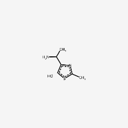 Cc1nc(C(C)N)cs1.Cl